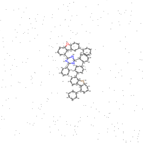 c1ccc(-c2ccc3oc4cccc(-c5nc(-c6ccccc6)nc(-c6ccccc6-c6ccc(-c7cccc8c7sc7cccc(-c9ccccc9)c78)cc6)n5)c4c3c2)cc1